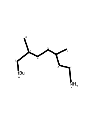 CC(CCN)CCC(C)CC(C)(C)C